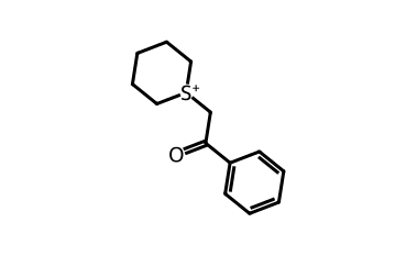 O=C(C[S+]1CCCCC1)c1ccccc1